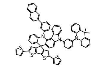 CC1(C)c2ccccc2N(c2cccc(-n3c4ccccc4c4c5c(ccc43)C3(c4ccccc4N5c4cccc(-c5ccc6ccccc6c5)c4)c4cc(-c5cccs5)sc4-c4sc(-c5cccs5)cc43)c2)c2ccccc21